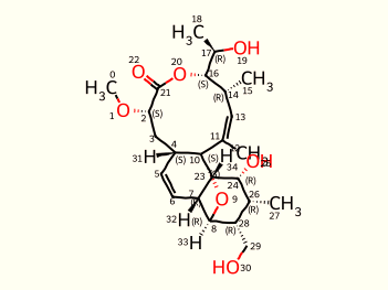 CO[C@H]1C[C@H]2C=C[C@H]3[C@H]4O[C@]2(C(C)=C[C@@H](C)[C@@H]([C@@H](C)O)OC1=O)[C@@H]3[C@H](O)[C@H](C)[C@@H]4CO